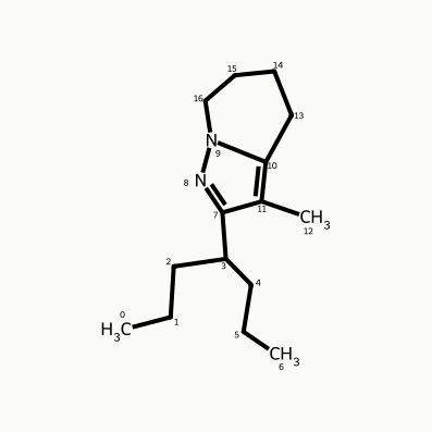 CCCC(CCC)c1nn2c(c1C)CCCC2